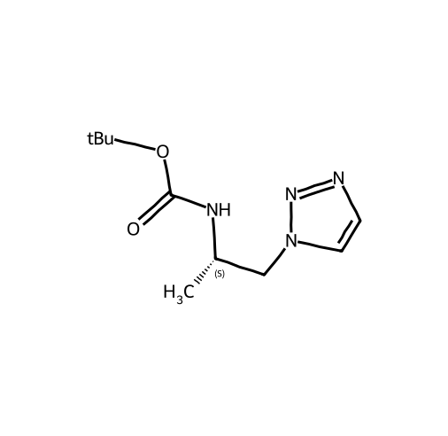 C[C@@H](Cn1ccnn1)NC(=O)OC(C)(C)C